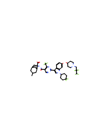 CC1CC2CC(C1)C(NC(=O)c1cnc(-c3cn(C4CCC(F)(F)CC4)c4cc(OC5CCN(CC(F)(F)C(F)F)CC5)ccc34)nc1C(F)(F)F)(C(=O)O)C2